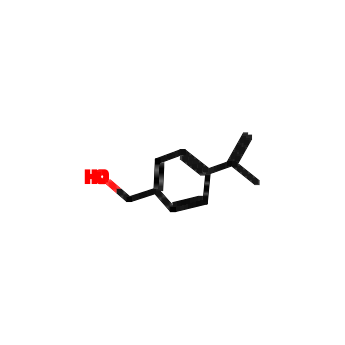 C=C(C)c1ccc(CO)cc1